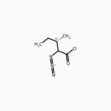 CC[C@H](C)C(N=[N+]=[N-])C(=O)Cl